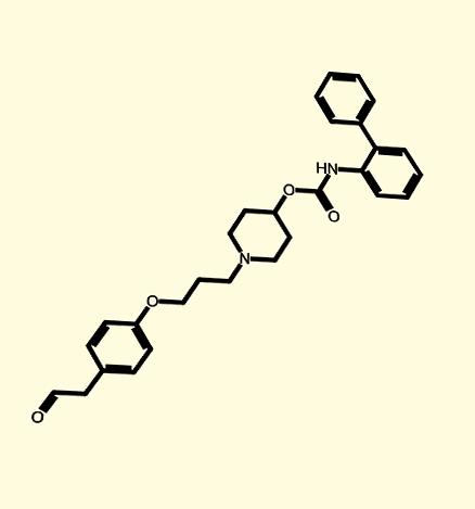 O=CCc1ccc(OCCCN2CCC(OC(=O)Nc3ccccc3-c3ccccc3)CC2)cc1